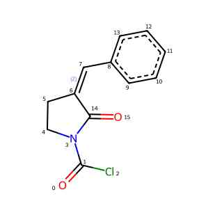 O=C(Cl)N1CC/C(=C/c2ccccc2)C1=O